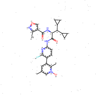 Cc1cc(-c2ccc(NC(=O)[C@@H](NC(=O)c3conc3C(C)C)C(C3CC3)C3CC3)nc2F)c(C)[n+]([O-])c1